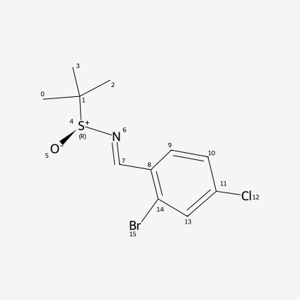 CC(C)(C)[S@+]([O-])N=Cc1ccc(Cl)cc1Br